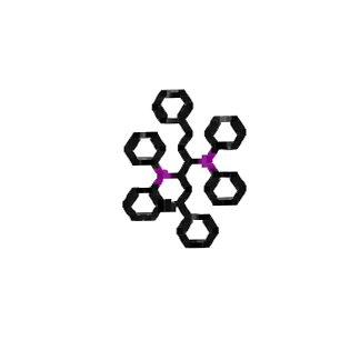 [Rh][CH](CC(C(CCc1ccccc1)P(c1ccccc1)c1ccccc1)P(c1ccccc1)c1ccccc1)c1ccccc1